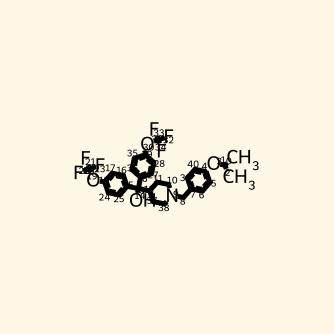 CC(C)Oc1ccc(CN2CCC(C(O)(c3ccc(OC(F)(F)F)cc3)c3ccc(OC(F)(F)F)cc3)CC2)cc1